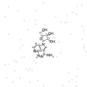 CN1N=C(N)c2cn([C@@H]3O[C@H](CO)[C@@H](O)C3O)c3ccnc1c23